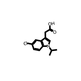 CC(C)n1cc(CC(=O)O)c2cc(Cl)ccc21